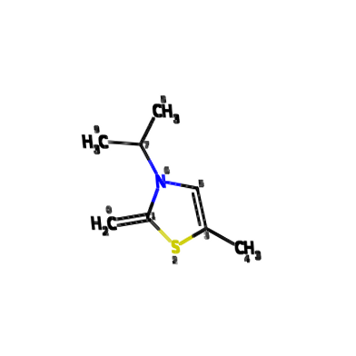 C=C1SC(C)=CN1C(C)C